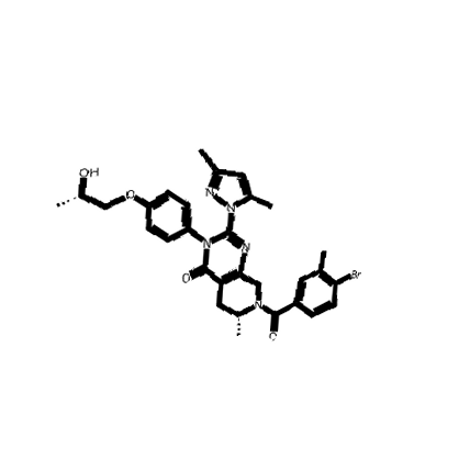 Cc1cc(C)n(-c2nc3c(c(=O)n2-c2ccc(OC[C@H](C)O)cc2)C[C@@H](C)N(C(=O)c2ccc(Br)c(C)c2)C3)n1